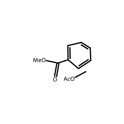 COC(=O)c1ccccc1.COC(C)=O